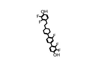 Oc1ccc(CCC2CC=C(c3ccc(-c4ccc(O)c(F)c4F)cc3F)CC2)c(F)c1F